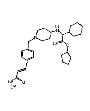 O=C(/C=C/c1ccc(CN2CCC(NC(C(=O)OC3CCCC3)C3CCCCC3)CC2)cc1)NO